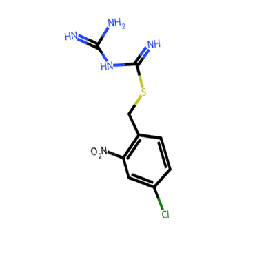 N=C(N)NC(=N)SCc1ccc(Cl)cc1[N+](=O)[O-]